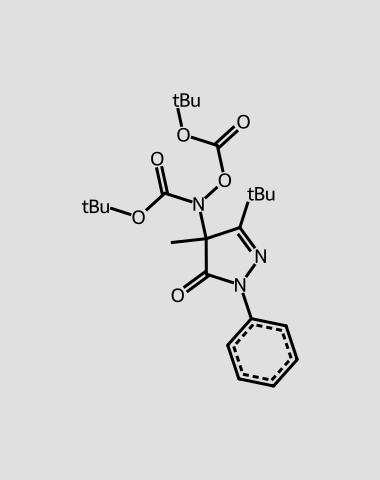 CC(C)(C)OC(=O)ON(C(=O)OC(C)(C)C)C1(C)C(=O)N(c2ccccc2)N=C1C(C)(C)C